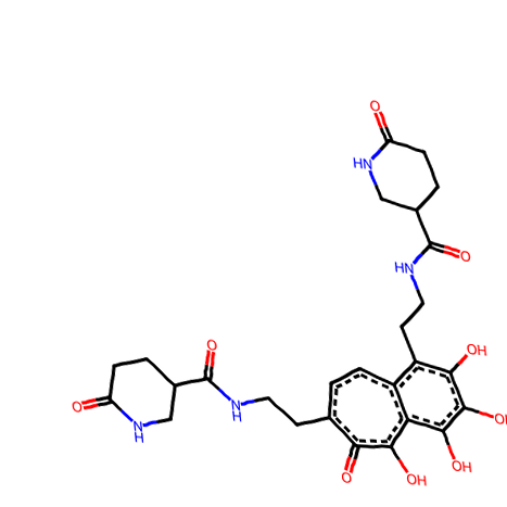 O=C1CCC(C(=O)NCCc2ccc3c(CCNC(=O)C4CCC(=O)NC4)c(O)c(O)c(O)c3c(O)c2=O)CN1